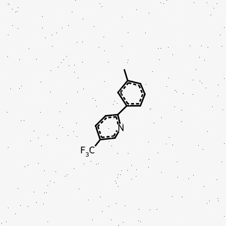 Cc1cccc(-c2ccc(C(F)(F)F)cn2)c1